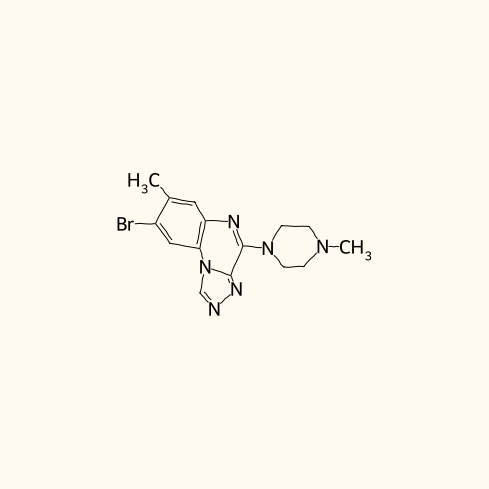 Cc1cc2nc(N3CCN(C)CC3)c3nncn3c2cc1Br